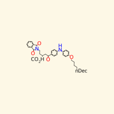 CCCCCCCCCCCCCCOc1ccc(Nc2ccc(C(=O)CC(CCN3C(=O)c4ccccc4C3=O)C(=O)O)cc2)cc1